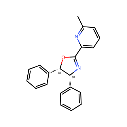 Cc1cccc(C2=N[C@H](c3ccccc3)[C@H](c3ccccc3)O2)n1